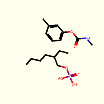 CCCCC(CC)COP(=O)(O)O.CNC(=O)Oc1cccc(C)c1